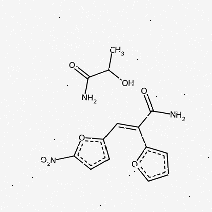 CC(O)C(N)=O.NC(=O)C(=Cc1ccc([N+](=O)[O-])o1)c1ccco1